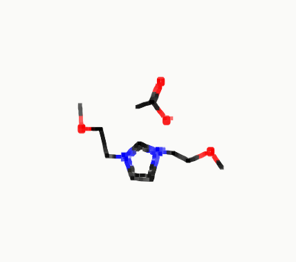 CC(=O)[O-].COCCn1cc[n+](CCOC)c1